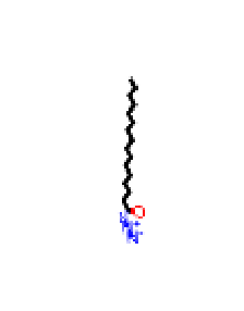 CCCCCCCCCCCCCCCC(=O)N=[N+]=[N-]